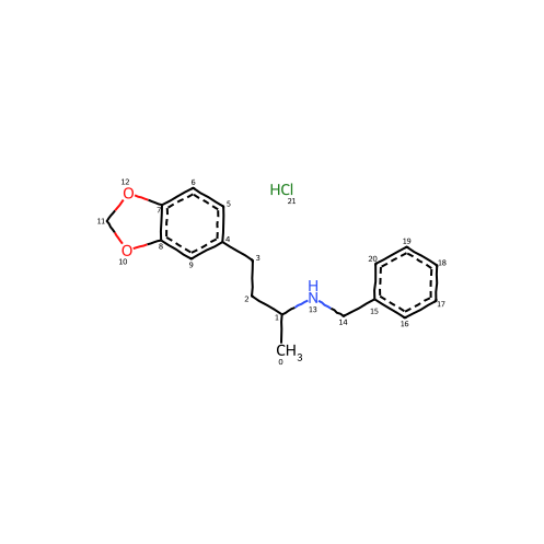 CC(CCc1ccc2c(c1)OCO2)NCc1ccccc1.Cl